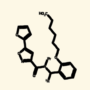 [2H]C(c1ccccc1OCCCCCC(=O)O)N(C(=O)c1cc(-c2ccco2)on1)C(C)C